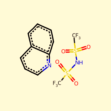 O=S(=O)(NS(=O)(=O)C(F)(F)F)C(F)(F)F.c1ccc2ncccc2c1